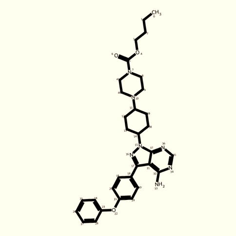 CCCCOC(=O)N1CCN(C2CCC(n3nc(-c4ccc(Oc5ccccc5)cc4)c4c(N)ncnc43)CC2)CC1